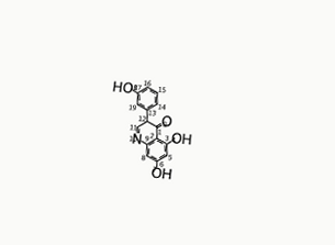 O=C1c2c(O)cc(O)cc2N=CC1c1cccc(O)c1